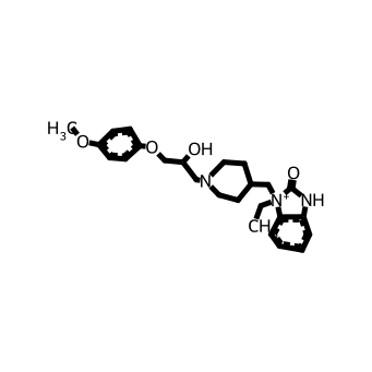 CC[N+]1(CC2CCN(CC(O)COc3ccc(OC)cc3)CC2)C(=O)Nc2ccccc21